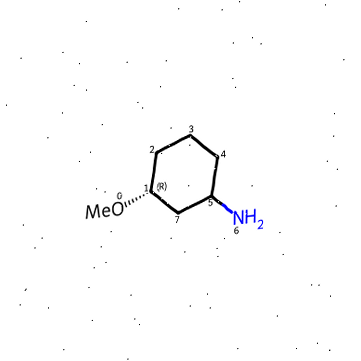 CO[C@@H]1CCCC(N)C1